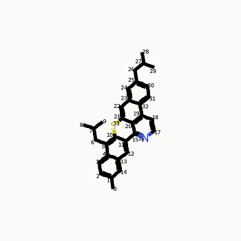 Cc1ccc2c(CC(C)C)c3c(cc2c1)-c1nccc2c1c(cc1cc(CC(C)C)ccc12)S3